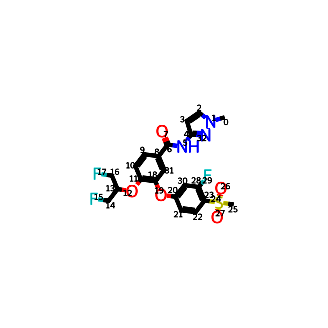 Cn1ccc(NC(=O)c2ccc(OC(CF)CF)c(Oc3ccc(S(C)(=O)=O)c(F)c3)c2)n1